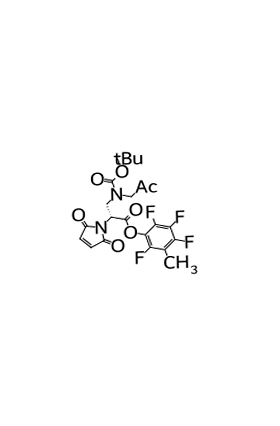 CC(=O)CN(C[C@H](C(=O)Oc1c(F)c(C)c(F)c(F)c1F)N1C(=O)C=CC1=O)C(=O)OC(C)(C)C